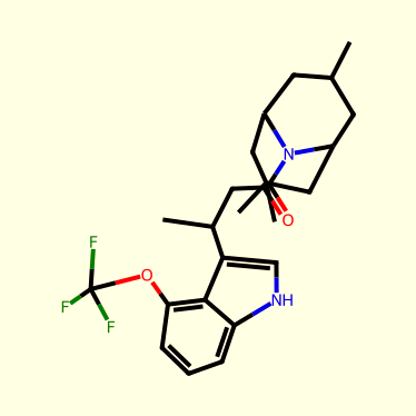 CC1CC2CC(C)(C)CC(C1)N2C(=O)CC(C)c1c[nH]c2cccc(OC(F)(F)F)c12